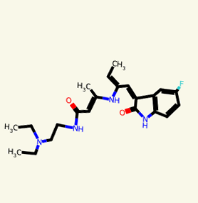 C/C=C(\C=C1/C(=O)Nc2ccc(F)cc21)N/C(C)=C/C(=O)NCCN(CC)CC